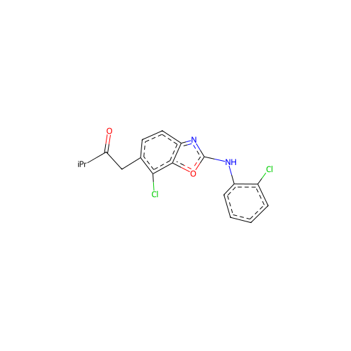 CC(C)C(=O)Cc1ccc2nc(Nc3ccccc3Cl)oc2c1Cl